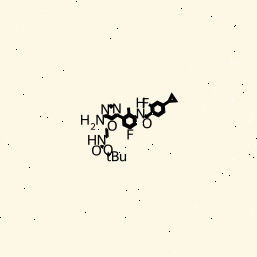 Cc1c(NC(=O)c2ccc(C3CC3)cc2F)cc(F)cc1-c1ncnc(N)c1OCCNC(=O)OC(C)(C)C